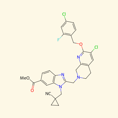 COC(=O)c1ccc2nc(CN3CCc4cc(Cl)c(OCc5ccc(Cl)cc5F)nc4C3)n(CC3(C#N)CC3)c2c1